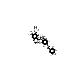 Cc1cc2ncnc(Nc3ccc(OCc4ccccc4)cc3)c2cc1C.Cl